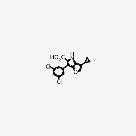 O=C(O)c1[nH]c2c(C3CC3)coc2c1-c1cc(Cl)cc(Cl)c1